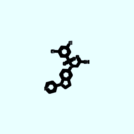 O=C(O)CN(c1ccc2c(c1)CCN2c1ccncc1)S(=O)(=O)c1cc(Cl)cc(Cl)c1